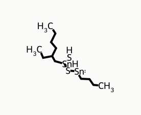 CCC[CH2][Sn][S][SnH]([SH])[CH2]C(CC)CCCC